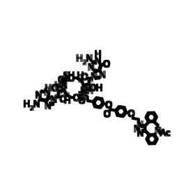 CC(=O)N1Cc2ccccc2-c2c(nnn2CCOc2ccc(C(=O)Oc3ccc(CS[P@]4(=O)N[C@H]5[C@@H](O)[C@H](n6cnc7c(=O)[nH]c(N)nc76)O[C@@H]5CO[P@@](=O)(S)N[C@@H]5[C@@H](O)[C@H](n6cnc7c(N)ncnc76)O[C@@H]5CO4)cc3)cc2)-c2ccccc21